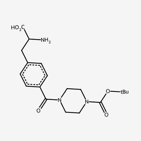 CC(C)(C)OC(=O)N1CCN(C(=O)c2ccc(CC(N)C(=O)O)cc2)CC1